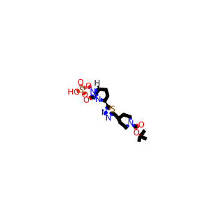 CC(C)(C)OC(=O)N1CCC(c2nnc([C@@H]3CC[C@@H]4CN3C(=O)N4OS(=O)(=O)O)s2)CC1